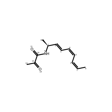 C\C=C/C=C\C=C\[C@H](C)NC(=O)C(C)=O